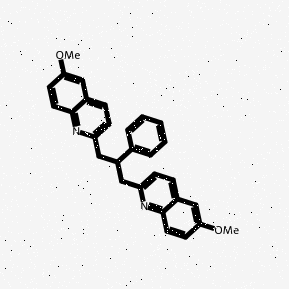 COc1ccc2nc(CC(Cc3ccc4cc(OC)ccc4n3)c3ccccc3)ccc2c1